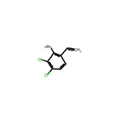 C=Cc1ccc(Cl)c(Cl)c1CCCC